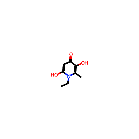 CCn1c(O)cc(=O)c(O)c1C